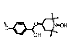 COc1ccc(C(O)OC2CC(C)(C)N(O)C(C)(C)C2)cc1